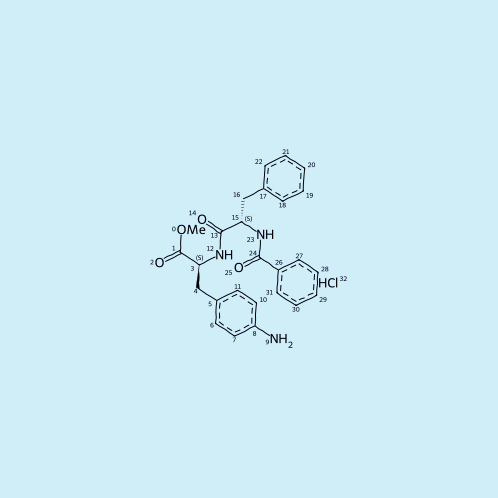 COC(=O)[C@H](Cc1ccc(N)cc1)NC(=O)[C@H](Cc1ccccc1)NC(=O)c1ccccc1.Cl